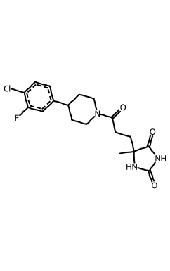 CC1(CCC(=O)N2CCC(c3ccc(Cl)c(F)c3)CC2)NC(=O)NC1=O